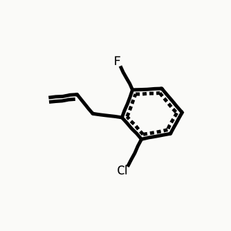 C=CCc1c(F)cccc1Cl